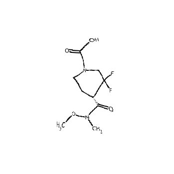 CON(C)C(=O)[C@@H]1CCN(C(=O)O)CC1(F)F